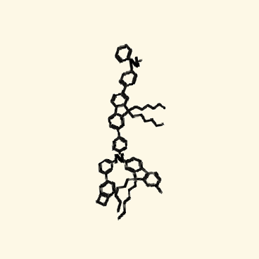 CCCCCCC1(CCCCCC)c2cc(-c3ccc(N(C)c4ccccc4)cc3)ccc2-c2ccc(-c3ccc(N(c4cccc(-c5ccc6c(c5)CC6)c4)c4ccc5c(c4)C(CCCCCC)(CCCCCC)c4cc(C)ccc4-5)cc3)cc21